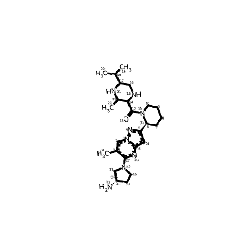 Cc1cn2nc([C@@H]3CCCCN3C(=O)C3NCC(C(C)C)NC3C)cc2nc1N1CC[C@H](N)C1